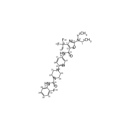 CCN(CC)c1nc(C(F)(F)F)c(C(=O)Nc2ccc(N3CCN(C(=O)Nc4ccccc4F)CC3)nc2)o1